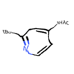 CC(=O)Nc1ccnc(C(C)(C)C)c1